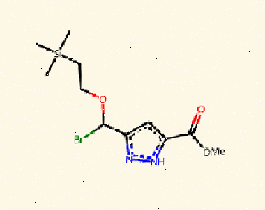 COC(=O)c1cc(C(Br)OCC[Si](C)(C)C)n[nH]1